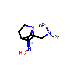 CCCN(CCC)CC1/C(=N/O)C2CCN1CC2